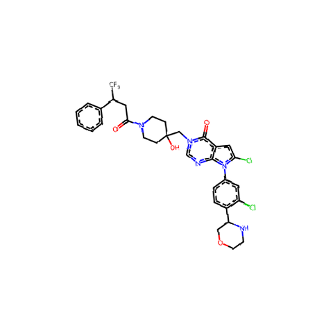 O=C(CC(c1ccccc1)C(F)(F)F)N1CCC(O)(Cn2cnc3c(cc(Cl)n3-c3ccc(C4COCCN4)c(Cl)c3)c2=O)CC1